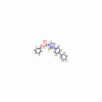 O=C(COc1ccccc1)N1CCN(c2ccc(C3CCCCC3)cc2)C1=S